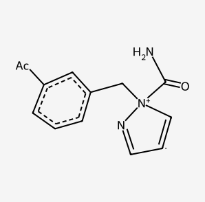 CC(=O)c1cccc(C[N+]2(C(N)=O)C=[C]C=N2)c1